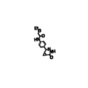 CCOCC(=O)Nc1ccc(C2=NNC(=O)C3CC23)cc1